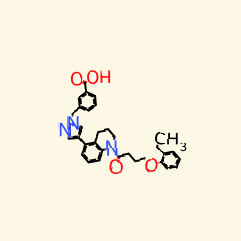 CCc1ccccc1OCCCC(=O)N1CCCc2c(-c3cnn(Cc4cccc(C(=O)O)c4)c3)cccc21